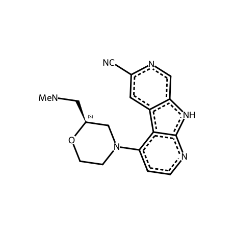 CNC[C@H]1CN(c2ccnc3[nH]c4cnc(C#N)cc4c23)CCO1